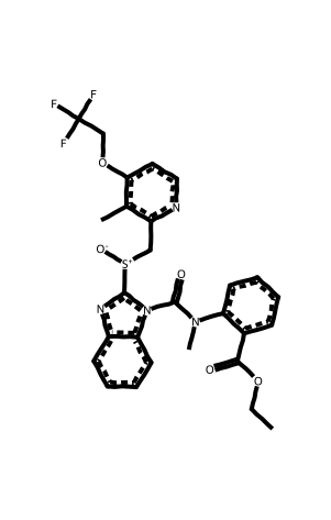 CCOC(=O)c1ccccc1N(C)C(=O)n1c([S+]([O-])Cc2nccc(OCC(F)(F)F)c2C)nc2ccccc21